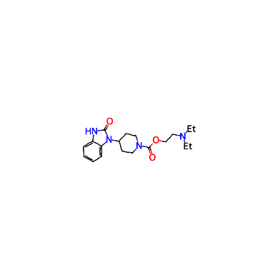 CCN(CC)CCOC(=O)N1CCC(n2c(=O)[nH]c3ccccc32)CC1